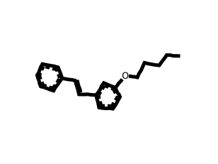 CCCCCOc1cccc(C=Cc2ccccc2)c1